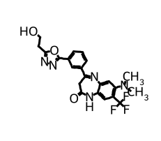 CN(C)c1cc2c(cc1C(F)(F)F)NC(=O)CC(c1cccc(-c3nnc(CCO)o3)c1)=N2